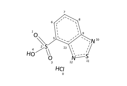 Cl.O=S(=O)(O)c1cccc2nsnc12